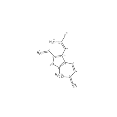 C=Cc1oc(C)c(/C=C\C(=C)Cl)c1/C=C(\C)F